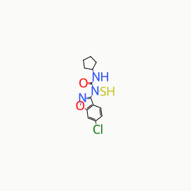 O=C(NC1CCCC1)N(S)c1noc2cc(Cl)ccc12